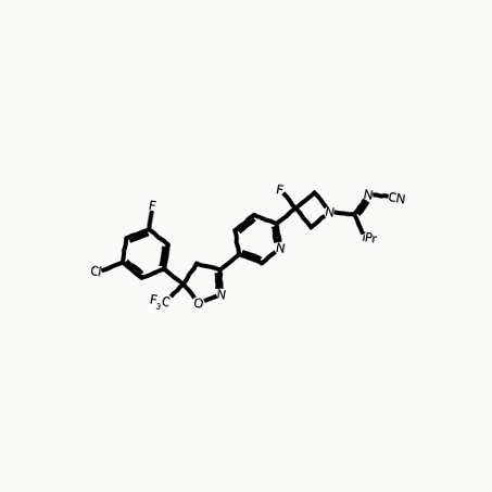 CC(C)/C(=N\C#N)N1CC(F)(c2ccc(C3=NOC(c4cc(F)cc(Cl)c4)(C(F)(F)F)C3)cn2)C1